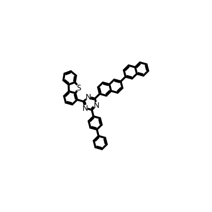 c1ccc(-c2ccc(-c3nc(-c4ccc5cc(-c6ccc7ccccc7c6)ccc5c4)nc(-c4cccc5c4sc4ccccc45)n3)cc2)cc1